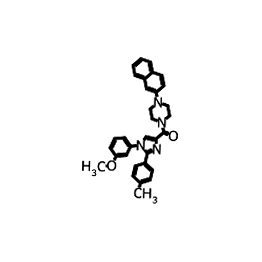 COc1cccc(-n2cc(C(=O)N3CCN(c4ccc5ccccc5c4)CC3)nc2-c2ccc(C)cc2)c1